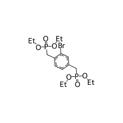 CCOP(=O)(Cc1ccc(CP(=O)(OCC)OCC)c(Br)c1)OCC